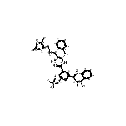 CCS(=O)(=O)Nc1cc(C(=O)N[C@@H](Cc2ccccc2)[C@H](O)CNCc2nc(C)oc2C)cc(C(=O)N[C@H](C)c2ccccc2)c1